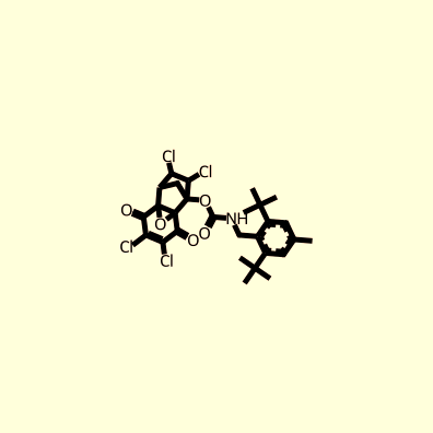 Cc1cc(C(C)(C)C)c(CNC(=O)OC23CC(C(Cl)C2Cl)C24OC32C(=O)C(Cl)=C(Cl)C4=O)c(C(C)(C)C)c1